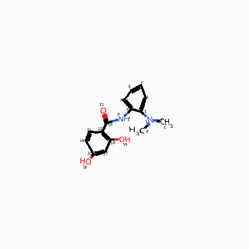 CN(C)c1ccccc1NC(=O)c1ccc(O)cc1O